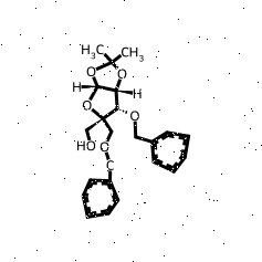 CC1(C)O[C@H]2O[C@@](CO)(COCc3ccccc3)[C@@H](OCc3ccccc3)[C@H]2O1